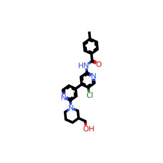 Cc1ccc(C(=O)Nc2cc(-c3ccnc(N4CCCC(CO)C4)c3)c(Cl)cn2)cc1